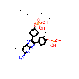 Nc1ccc2nc(-c3ccc(O[PH](O)(O)O)cc3)c(-c3ccc(OP(O)O)cc3)nc2n1